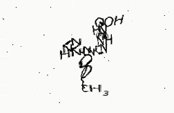 CCCCOc1ccc2c(Nc3cnccn3)nn(-c3ccnc(N4C[C@@H]5C[C@H]4CN5C(=O)O)c3)c2c1